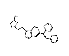 OC1CCN(CCn2ncc3cc(C(=Cc4ccccc4)c4ccncc4)ccc32)C1